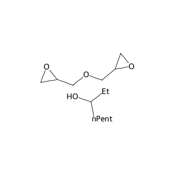 C(OCC1CO1)C1CO1.CCCCCC(O)CC